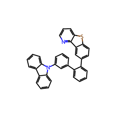 c1cc(-c2ccccc2-c2ccc3sc4cccnc4c3c2)cc(-n2c3ccccc3c3ccccc32)c1